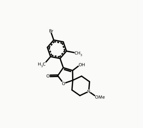 CON1CCC2(CC1)OC(=O)C(c1c(C)cc(Br)cc1C)=C2O